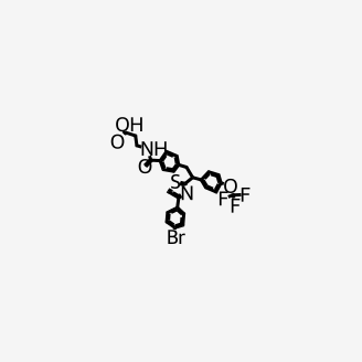 O=C(O)CCNC(=O)c1ccc(CC(c2ccc(OC(F)(F)F)cc2)c2nc(-c3ccc(Br)cc3)cs2)cc1